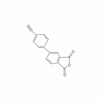 C#Cc1ccc(-c2ccc3c(c2)C(=O)OC3=O)cc1